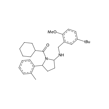 COc1ccc(C(C)(C)C)cc1CNC1CCC(c2ccccc2C)N1C(=O)C1CCCCC1